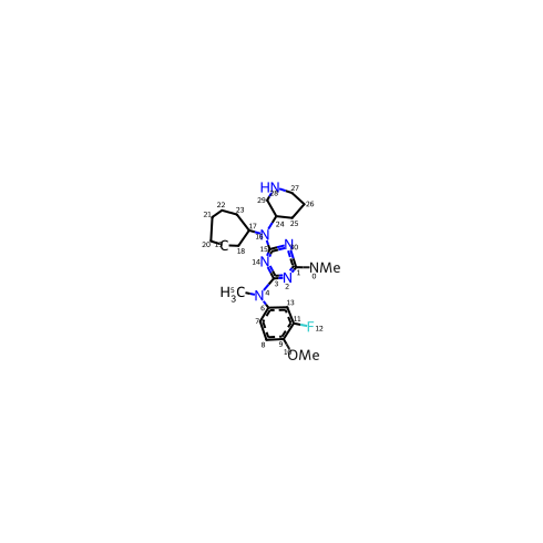 CNc1nc(N(C)c2ccc(OC)c(F)c2)nc(N(C2CCCCCC2)C2CCCNC2)n1